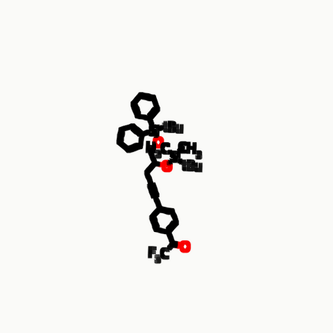 CC(C)(C)[Si](C)(C)OC(CC#Cc1ccc(C(=O)C(F)(F)F)cc1)CO[Si](c1ccccc1)(c1ccccc1)C(C)(C)C